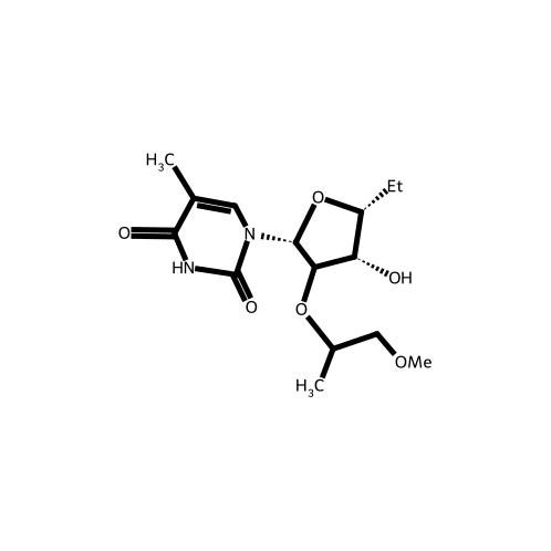 CC[C@H]1O[C@@H](n2cc(C)c(=O)[nH]c2=O)C(OC(C)COC)[C@H]1O